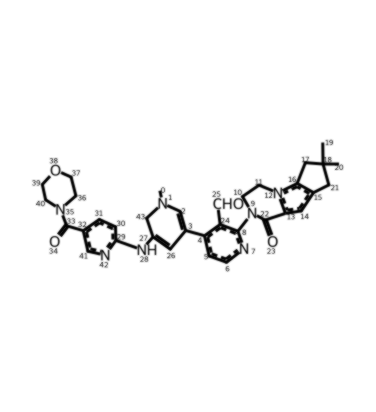 CN1C=C(c2ccnc(N3CCn4c(cc5c4CC(C)(C)C5)C3=O)c2C=O)C=C(Nc2ccc(C(=O)N3CCOCC3)cn2)C1